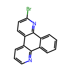 Brc1ccc2c3cccnc3c3ccccc3c2n1